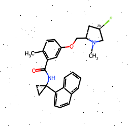 Cc1ccc(OCC2C[C@@H](F)CN2C)cc1C(=O)NC1(c2cccc3ccccc23)CC1